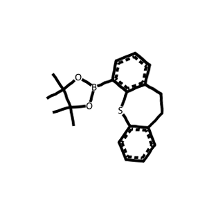 CC1(C)OB(c2cccc3c2Sc2ccccc2CC3)OC1(C)C